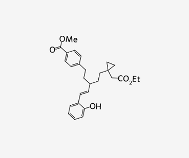 CCOC(=O)CC1(CCC(C=Cc2ccccc2O)CCc2ccc(C(=O)OC)cc2)CC1